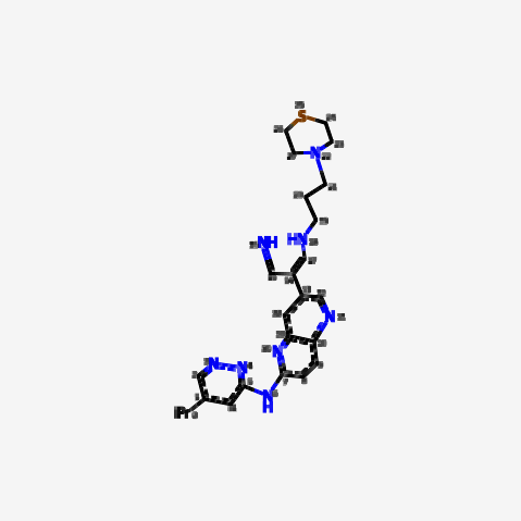 CC(C)c1cnnc(Nc2ccc3ncc(/C(C=N)=C/NCCCN4CCSCC4)cc3n2)c1